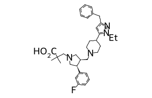 CCn1nc(Cc2ccccc2)cc1C1CCN(C[C@@H]2CN(CC(C)(C)C(=O)O)C[C@@H]2c2cccc(F)c2)CC1